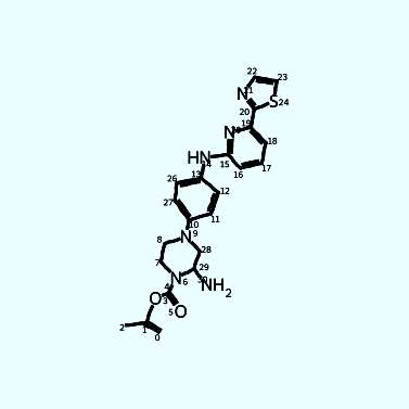 C=C(C)OC(=O)N1CCN(c2ccc(Nc3cccc(-c4nccs4)n3)cc2)CC1N